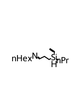 C=C[SiH](CCC)CCC=NCCCCCC